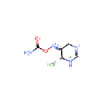 Cl.NC(=O)O/N=C1/CN=CNC1